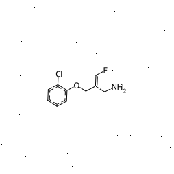 NCC(=CF)COc1ccccc1Cl